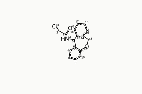 O=C(CCl)NC1c2ccccc2OCc2ncccc21